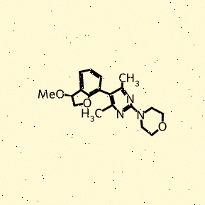 CO[C@@H]1COc2c(-c3c(C)nc(N4CCOCC4)nc3C)cccc21